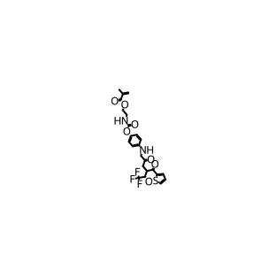 C=C(C)C(=O)OCCNC(=O)Oc1ccc(NCC(=O)CC(C(=O)c2cccs2)C(=O)C(F)(F)F)cc1